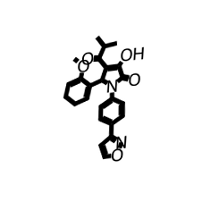 COC1=CCCC=C1C1C(C(=O)C(C)C)=C(O)C(=O)N1c1ccc(-c2ccon2)cc1